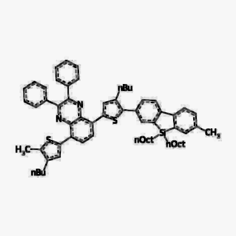 CCCCCCCC[Si]1(CCCCCCCC)c2cc(C)ccc2-c2ccc(-c3sc(-c4ccc(-c5cc(CCCC)c(C)s5)c5nc(-c6ccccc6)c(-c6ccccc6)nc45)cc3CCCC)cc21